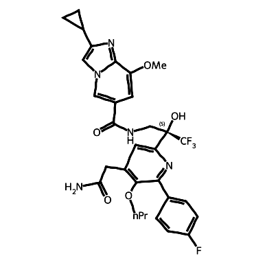 CCCOc1c(CC(N)=O)cc([C@@](O)(CNC(=O)c2cc(OC)c3nc(C4CC4)cn3c2)C(F)(F)F)nc1-c1ccc(F)cc1